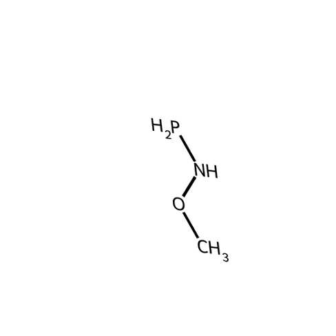 CONP